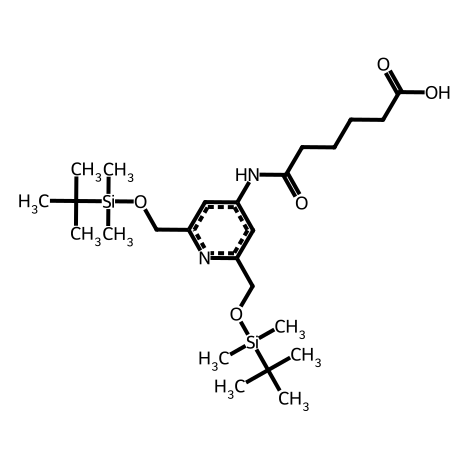 CC(C)(C)[Si](C)(C)OCc1cc(NC(=O)CCCCC(=O)O)cc(CO[Si](C)(C)C(C)(C)C)n1